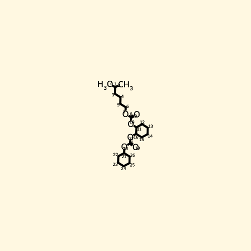 CC(C)CCCCOC(=O)OC1CCCCC1OC(=O)OC1CCCCC1